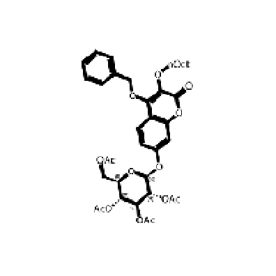 CCCCCCCCOc1c(OCc2ccccc2)c2ccc(O[C@@H]3O[C@H](COC(C)=O)[C@@H](OC(C)=O)[C@H](OC(C)=O)[C@H]3OC(C)=O)cc2oc1=O